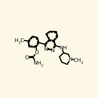 Cc1ccc(-c2nnc(NC3CCCN(C)C3)c3ccccc23)c(OC(N)=O)c1